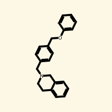 [c]1ccccc1OCc1ccc(CN2CCc3ccccc3C2)cc1